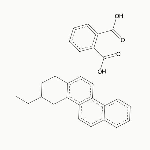 CCC1CCc2ccc3c(ccc4ccccc43)c2C1.O=C(O)c1ccccc1C(=O)O